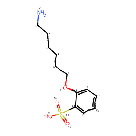 NCCCCCCOc1ccccc1S(=O)(=O)O